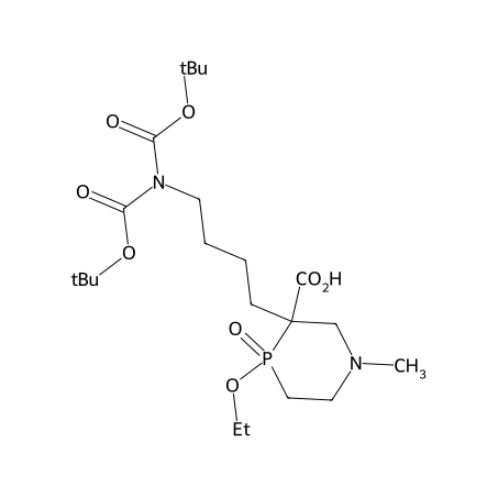 CCOP1(=O)CCN(C)CC1(CCCCN(C(=O)OC(C)(C)C)C(=O)OC(C)(C)C)C(=O)O